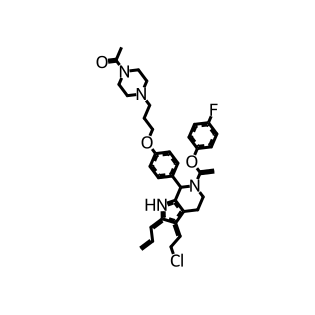 C=C/C=c1/[nH]c2c(/c1=C/CCl)CCN(C(=C)Oc1ccc(F)cc1)C2c1ccc(OCCCN2CCN(C(C)=O)CC2)cc1